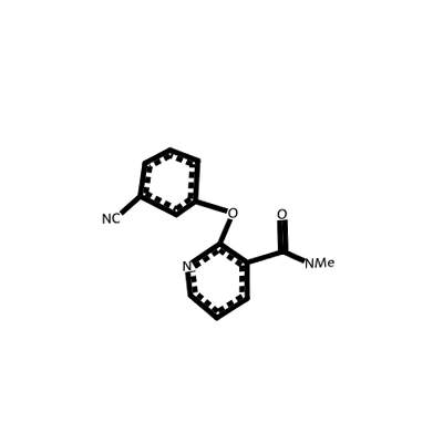 CNC(=O)c1cccnc1Oc1cccc(C#N)c1